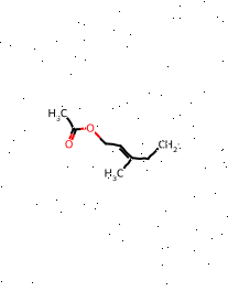 [CH2]CC(C)=CCOC(C)=O